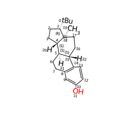 CC(C)(C)[C@H]1CC[C@H]2[C@@H]3CCc4cc(O)ccc4[C@H]3CC[C@]12C